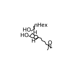 CCCCCC/C=C/[C@@H](O)[C@@H]1[C@H]2CC(CCCCC(=O)N(C)C)=C[C@H]2C[C@H]1O